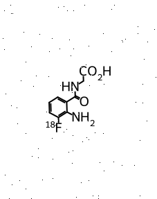 Nc1c([18F])cccc1C(=O)NCC(=O)O